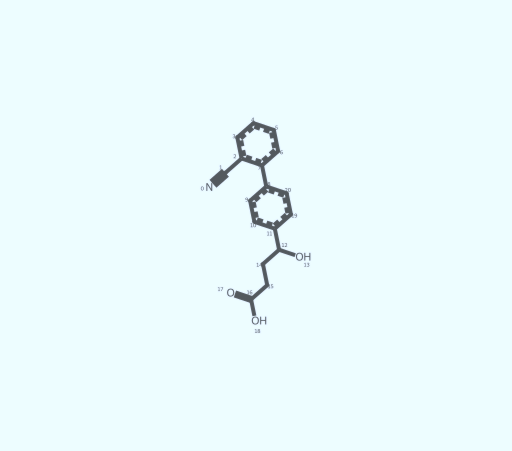 N#Cc1ccccc1-c1ccc(C(O)CCC(=O)O)cc1